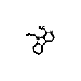 CCCCCn1c2ccccc2c2ccnc(C)c21